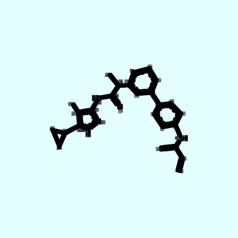 C=CC(=O)Nc1ccc(-c2cccc(C(C)C(=O)Nc3n[nH]c(C4CC4)c3C)c2)cc1